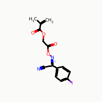 C=C(C)C(=O)OCC(=O)O/N=C(\C#N)c1ccc(I)cc1